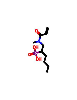 C=CC(=O)N(C)CC(CCCC)P(=O)(O)O